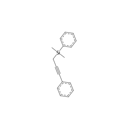 C[Si](C)(CC#Cc1ccccc1)c1ccccc1